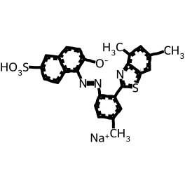 Cc1ccc(N=Nc2c([O-])ccc3cc(S(=O)(=O)O)ccc23)c(-c2nc3c(C)cc(C)cc3s2)c1.[Na+]